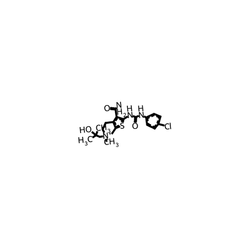 CC(C)(O)C[N+]1(C)CCc2c(sc(NC(=O)Nc3ccc(Cl)cc3)c2C(N)=O)C1